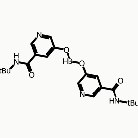 CC(C)(C)NC(=O)c1cncc(OBOc2cncc(C(=O)NC(C)(C)C)c2)c1